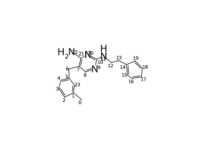 Cc1cccc(Cc2cnc(NCCc3ccccc3)nc2N)c1